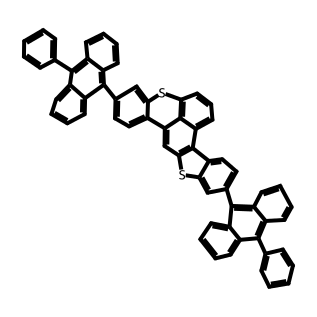 c1ccc(-c2c3ccccc3c(-c3ccc4c(c3)Sc3cccc5c3c-4cc3sc4cc(-c6c7ccccc7c(-c7ccccc7)c7ccccc67)ccc4c35)c3ccccc23)cc1